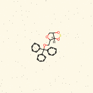 c1ccc(C(OCC2OCC3OSO[C@H]23)(c2ccccc2)c2ccccc2)cc1